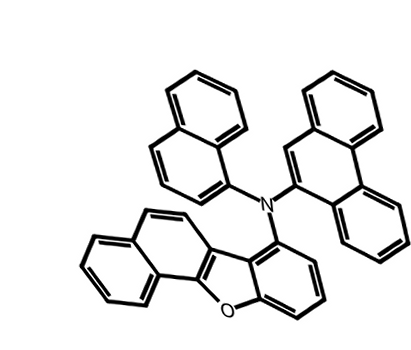 c1ccc2c(N(c3cc4ccccc4c4ccccc34)c3cccc4oc5c6ccccc6ccc5c34)cccc2c1